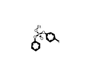 CCOP(=O)(Oc1ccccc1)Oc1ccc(I)cc1